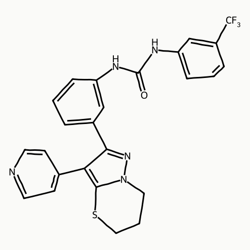 O=C(Nc1cccc(-c2nn3c(c2-c2ccncc2)SCCC3)c1)Nc1cccc(C(F)(F)F)c1